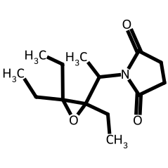 CCC1(CC)OC1(CC)C(C)N1C(=O)CCC1=O